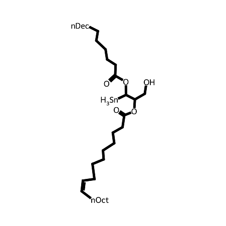 CCCCCCCC/C=C\CCCCCCCC(=O)OC(CO)[CH]([SnH3])OC(=O)CCCCCCCCCCCCCCC